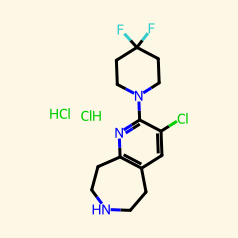 Cl.Cl.FC1(F)CCN(c2nc3c(cc2Cl)CCNCC3)CC1